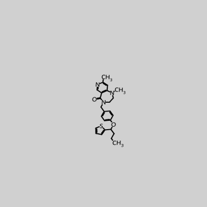 CCCC(Oc1ccc(CN2CCN(C)c3cc(C)ncc3C2=O)cc1)c1cccs1